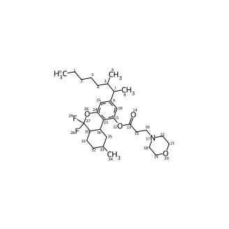 CCCCCC(C)C(C)c1cc(OC(=O)CCN2CCOCC2)c2c(c1)OC(F)(F)C1CCC(C)CC21